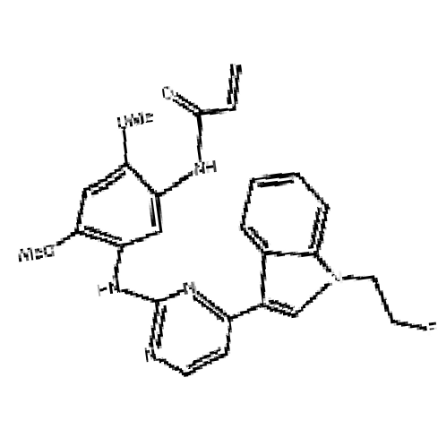 C=CC(=O)Nc1cc(Nc2nccc(-c3cn(CCF)c4ccccc34)n2)c(OC)cc1OC